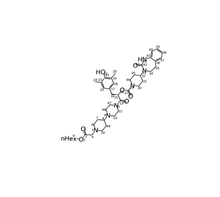 CCCCCCOC(=O)CN1CCC(N2CCN(C(=O)[C@@H](Cc3cc(C)c(O)c(C)c3)OC(=O)N3CCC(N4CCc5ccccc5NC4=O)CC3)CC2)CC1